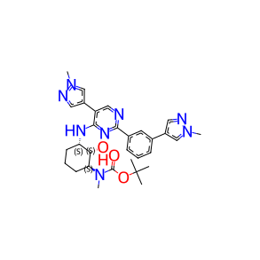 CN(C(=O)OC(C)(C)C)[C@H]1CCC[C@H](Nc2nc(-c3cccc(-c4cnn(C)c4)c3)ncc2-c2cnn(C)c2)[C@@H]1O